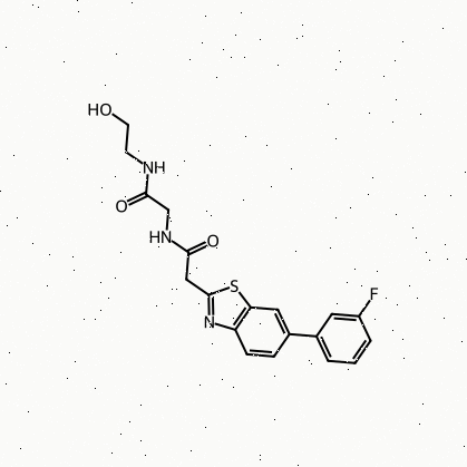 O=C(CNC(=O)Cc1nc2ccc(-c3cccc(F)c3)cc2s1)NCCO